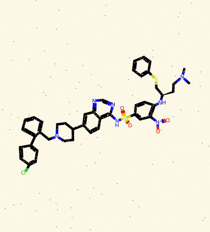 CN(C)CC[C@H](CSc1ccccc1)Nc1ccc(S(=O)(=O)Nc2ncnc3cc(C4CCN(Cc5ccccc5-c5ccc(Cl)cc5)CC4)ccc23)cc1[N+](=O)[O-]